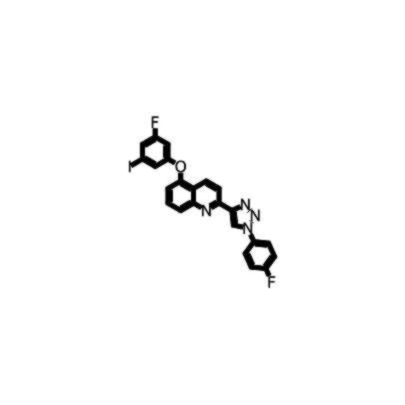 Fc1ccc(-n2cc(-c3ccc4c(Oc5cc(F)cc(I)c5)cccc4n3)nn2)cc1